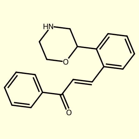 O=C(C=Cc1ccccc1C1CNCCO1)c1ccccc1